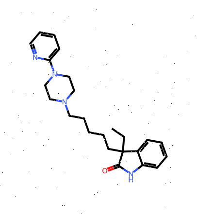 CCC1(CCCCCN2CCN(c3ccccn3)CC2)C(=O)Nc2ccccc21